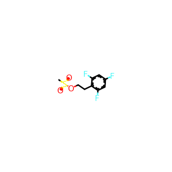 CS(=O)(=O)OCCc1c(F)cc(F)cc1F